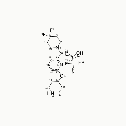 FC1(F)CCN(Cc2cccc(OC3CCNCC3)n2)CC1.O=C(O)C(F)(F)F